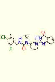 Cc1cc(CNC(=O)N(C2CC2)[C@@H]2CCCN(c3nc4ccccc4c(=O)[nH]3)C2)c(F)cc1Cl